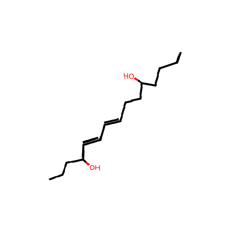 CCCCC(O)CCC=CC=CC(O)CCC